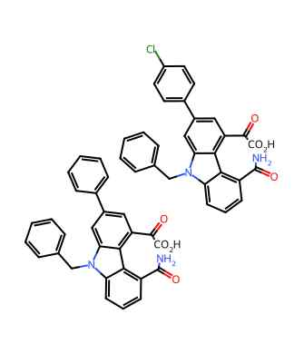 NC(=O)c1cccc2c1c1c(C(=O)C(=O)O)cc(-c3ccc(Cl)cc3)cc1n2Cc1ccccc1.NC(=O)c1cccc2c1c1c(C(=O)C(=O)O)cc(-c3ccccc3)cc1n2Cc1ccccc1